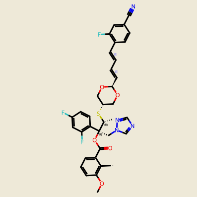 [CH2]c1c(OC)cccc1C(=O)O[C@@](Cn1cncn1)(c1ccc(F)cc1F)[C@@H](C)S[C@H]1CO[C@H](/C=C/C=C/c2ccc(C#N)cc2F)OC1